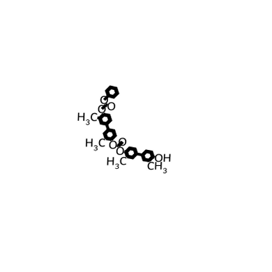 Cc1cc(-c2ccc(OC(=O)Oc3ccc(-c4ccc(OC(=O)Oc5ccccc5)c(C)c4)cc3C)c(C)c2)ccc1O